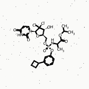 CC(C)OC(=O)C(C)NP(=O)(OC[C@H]1O[C@@H](n2ccc(=O)[nH]c2=O)C(Cl)(Cl)[C@@H]1O)Oc1cccc(C2CCC2)c1